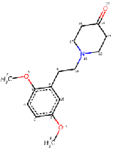 COc1ccc(OC)c(CCN2CCC(=O)CC2)c1